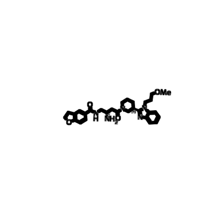 COCCCn1c([C@@H]2CCCN(C(=O)C[C@H](N)CNC(=O)c3ccc4c(c3)CCO4)C2)nc2ccccc21